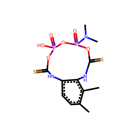 Cc1ccc2c(c1C)NC(=S)OP(=O)(N(C)C)OP(=O)(O)OC(=S)N2